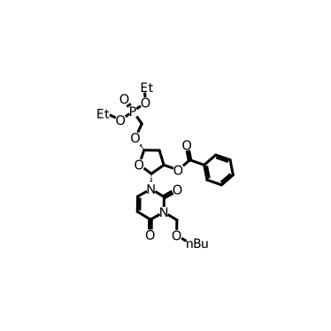 CCCCOCn1c(=O)ccn([C@@H]2O[C@H](OCP(=O)(OCC)OCC)CC2OC(=O)c2ccccc2)c1=O